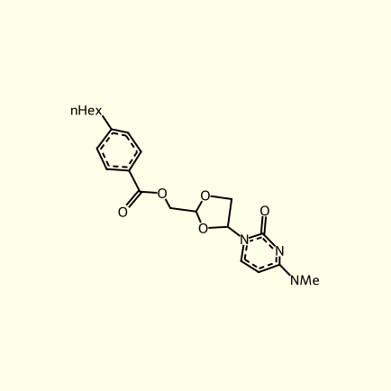 CCCCCCc1ccc(C(=O)OCC2OCC(n3ccc(NC)nc3=O)O2)cc1